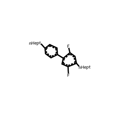 CCCCCCCc1ccc(-c2cc(F)c(CCCCCCC)cc2F)cc1